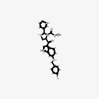 CC(C)(C)OC(=O)N1C(C(=O)c2c[nH]c3cc(OCc4ccc(F)cc4)ccc23)CSC1c1cccnc1